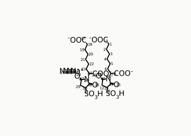 O=C([O-])CCCCCCC(C(=O)[O-])N1C(=O)CC(S(=O)(=O)O)C1=O.O=C([O-])CCCCCCC(C(=O)[O-])N1C(=O)CC(S(=O)(=O)O)C1=O.[Na+].[Na+].[Na+].[Na+]